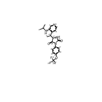 CC(C)Nc1cnccc1C(C)C1NC(=O)N(c2ccc(OC(F)(F)F)cc2)C1=O